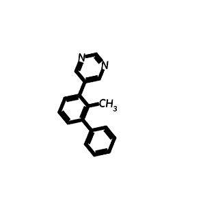 Cc1c(-c2ccccc2)cccc1-c1cncnc1